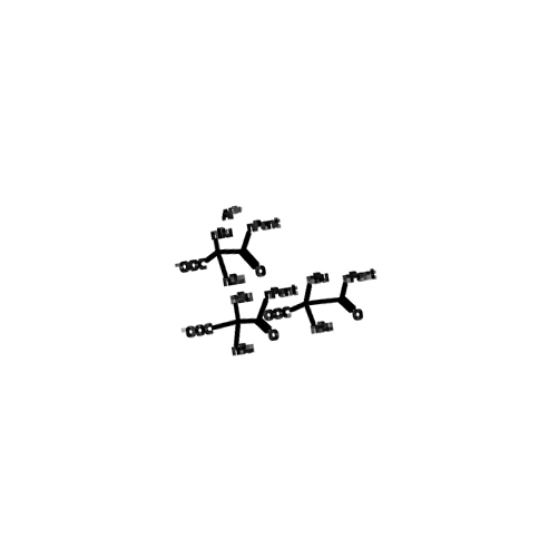 CCCCCC(=O)C(CCCC)(CCCC)C(=O)[O-].CCCCCC(=O)C(CCCC)(CCCC)C(=O)[O-].CCCCCC(=O)C(CCCC)(CCCC)C(=O)[O-].[Al+3]